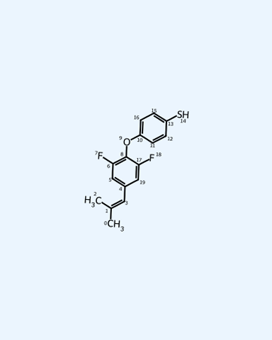 CC(C)=Cc1cc(F)c(Oc2ccc(S)cc2)c(F)c1